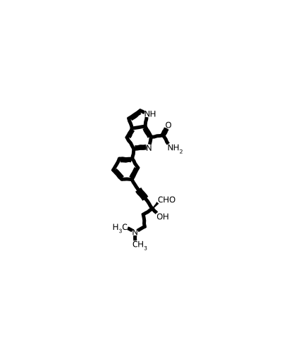 CN(C)CC[C@@](O)(C#Cc1cccc(-c2cc3cc[nH]c3c(C(N)=O)n2)c1)C=O